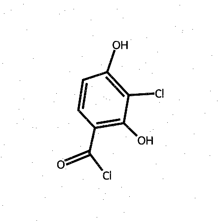 O=C(Cl)c1ccc(O)c(Cl)c1O